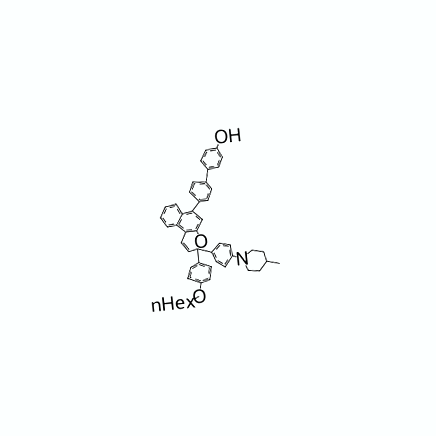 CCCCCCOc1ccc(C2(c3ccc(N4CCC(C)CC4)cc3)C=Cc3c(cc(-c4ccc(-c5ccc(O)cc5)cc4)c4ccccc34)O2)cc1